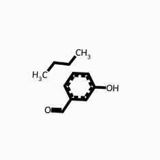 CCCC.O=Cc1cccc(O)c1